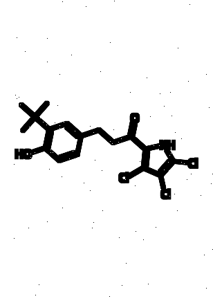 CC(C)(C)c1cc(CCC(=O)c2[nH]c(Cl)c(Cl)c2Cl)ccc1O